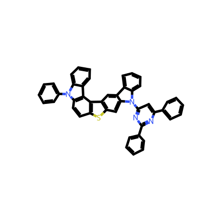 c1ccc(-c2cc(-n3c4ccccc4c4cc5c(cc43)sc3ccc4c(c6ccccc6n4-c4ccccc4)c35)nc(-c3ccccc3)n2)cc1